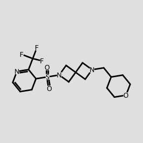 O=S(=O)(C1CC=CN=C1C(F)(F)F)N1CC2(CN(CC3CCOCC3)C2)C1